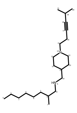 CCCCCCC(C)CNCC1CCN(CCC#CC(C)C)CC1